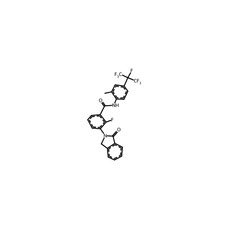 Cc1cc(C(F)(C(F)(F)F)C(F)(F)F)ccc1NC(=O)c1cccc(N2Cc3ccccc3C2=O)c1F